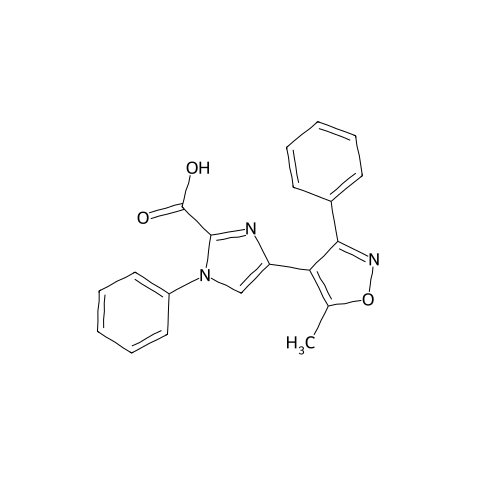 Cc1onc(-c2ccccc2)c1-c1cn(-c2ccccc2)c(C(=O)O)n1